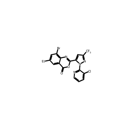 CCc1cc(Br)c2nc(-c3cc(C(F)(F)F)nn3-c3ncccc3Cl)oc(=O)c2c1